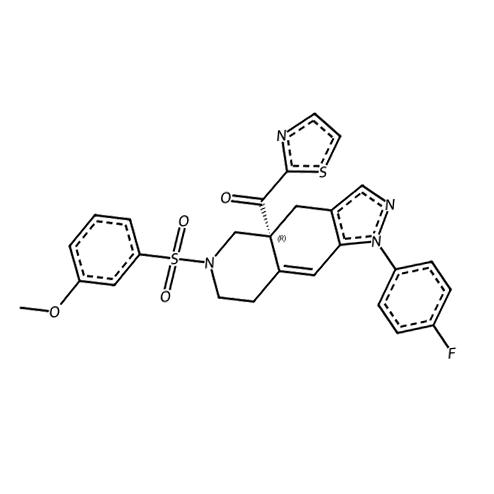 COc1cccc(S(=O)(=O)N2CCC3=Cc4c(cnn4-c4ccc(F)cc4)C[C@]3(C(=O)c3nccs3)C2)c1